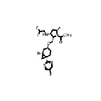 COC(=O)N1[C@H](C)C[C@H](NCC(F)F)[C@@H]1CO[C@H]1CC[C@@]2(c3ncc(F)cn3)C[C@H]2C1